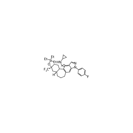 CC[Si](CC)(CC)O[C@]1(C(F)(F)F)CC[C@@]2(C(=O)NC3CC3)c3cc4cnn(-c5ccc(F)cc5)c4cc3CCC[C@@H]2C1